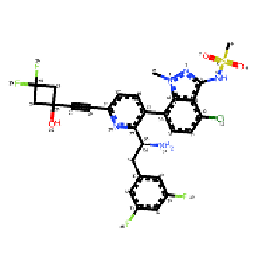 Cn1nc(NS(C)(=O)=O)c2c(Cl)ccc(-c3ccc(C#CC4(O)CC(F)(F)C4)nc3[C@@H](N)Cc3cc(F)cc(F)c3)c21